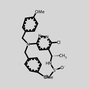 COc1ccc(CN(Cc2ccc(OC)cc2)c2cc([C@H](C)N[S+]([O-])C(C)(C)C)c(Cl)nn2)cc1